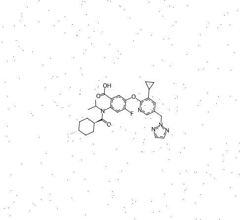 CC(C)N(c1cc(F)c(Oc2ncc(Cn3nccn3)cc2C2CC2)cc1C(=O)O)C(=O)[C@H]1CC[C@H](C)CC1